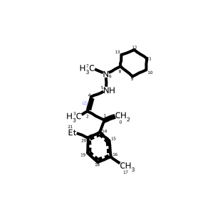 C=C(/C(C)=C\NN(C)C1CCCCC1)c1cc(C)ccc1CC